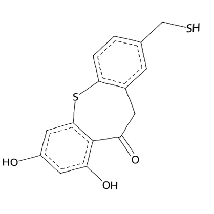 O=C1Cc2cc(CS)ccc2Sc2cc(O)cc(O)c21